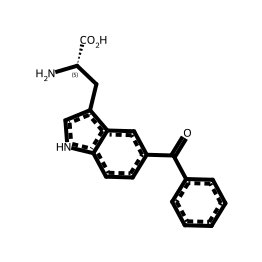 N[C@@H](Cc1c[nH]c2ccc(C(=O)c3ccccc3)cc12)C(=O)O